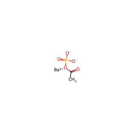 CC(=O)OP(=O)([O-])[O-].[Ba+2]